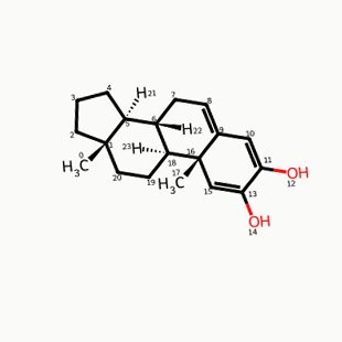 C[C@@]12CCC[C@H]1[C@@H]1CC=C3C=C(O)C(O)=C[C@]3(C)[C@H]1CC2